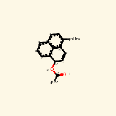 CCCCCCc1ccc2cccc3c2c1C=CC3OC(=O)C(C)C